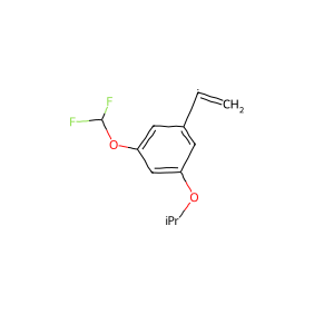 C=[C]c1cc(OC(C)C)cc(OC(F)F)c1